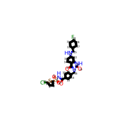 O=C(NS(=O)(=O)c1ccc(Cl)s1)c1ccc(Cn2c(=O)[nH]c3cc(NCc4ccc(F)cc4)ccc3c2=O)cc1